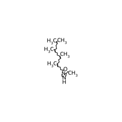 CCC1CNCCN1C(=O)CCC=C(C)CCC=C(C)CCC=C(C)CCC=C(C)C